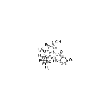 COc1c([C@H]2[C@H](c3cc(=O)c4c[n+]([O-])ccc4[nH]3)O[C@@](C)(C(F)(F)F)[C@H]2C)ccc(F)c1F.Cl